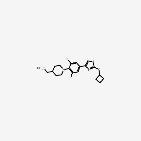 O=C(O)CC1CCN(c2c(F)cc(-c3csc(OC4CCC4)n3)cc2F)CC1